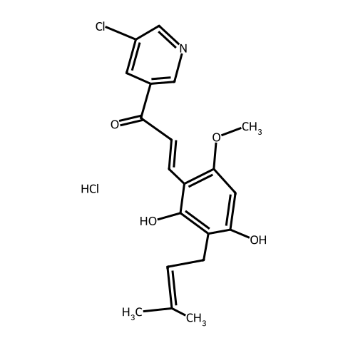 COc1cc(O)c(CC=C(C)C)c(O)c1C=CC(=O)c1cncc(Cl)c1.Cl